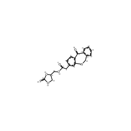 O=C(Cc1ccc2c(c1)SCc1ccccc1C2=O)OCC1COC(=S)O1